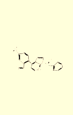 O=Cc1cc([N+](=O)[O-])ccc1-c1ccnc2c1ccn2S(=O)(=O)c1ccccc1